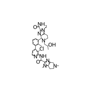 Cc1c(-c2ccnc(NC(=O)c3nc4c(n3C)CCN(C)C4)c2Cl)cccc1C1c2nc(C(N)=O)n(C)c2CCN1CC(C)O